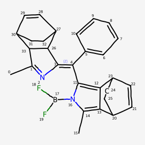 CC1=N/C(=C(/c2ccccc2)c2c3c(c(C)n2B(F)F)C2C=CC3CC2)C2C3C=CC(CC3)C12